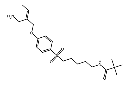 C/C=C(\CN)COc1ccc(S(=O)(=O)CCCCCNC(=O)C(C)(C)C)cc1